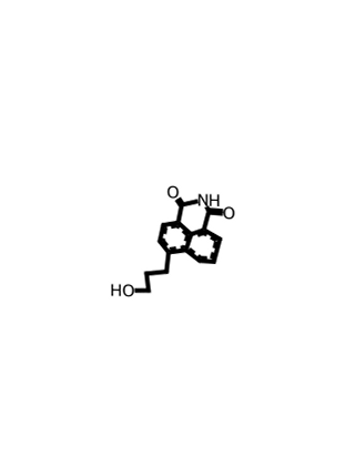 O=C1NC(=O)c2ccc(CCCO)c3cccc1c23